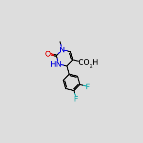 CN1C=C(C(=O)O)C(c2ccc(F)c(F)c2)NC1=O